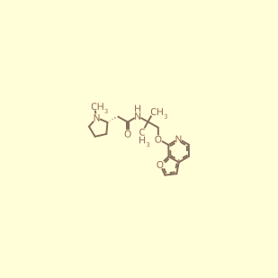 CN1CCC[C@H]1CC(=O)NC(C)(C)COc1nccc2ccoc12